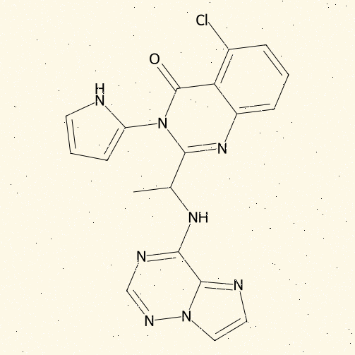 CC(Nc1ncnn2ccnc12)c1nc2cccc(Cl)c2c(=O)n1-c1ccc[nH]1